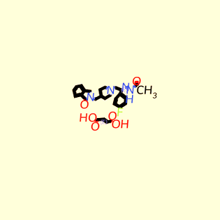 CC(=O)N/N=C(/CN1CCC(CN2Cc3ccccc3C2=O)CC1)c1ccc(F)cc1.O=C(O)/C=C/C(=O)O